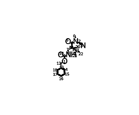 CN(C#N)C(=O)[C@@H](CNC(=O)OCc1ccccc1)[Si](C)(C)C